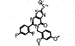 COc1ccc(Cn2c(-c3ccc(F)cc3F)nc3sc([S+](C)[O-])nc3c2=O)c(OC)c1